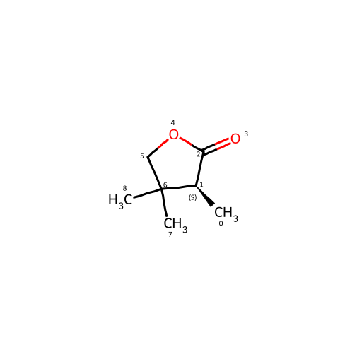 C[C@@H]1C(=O)OCC1(C)C